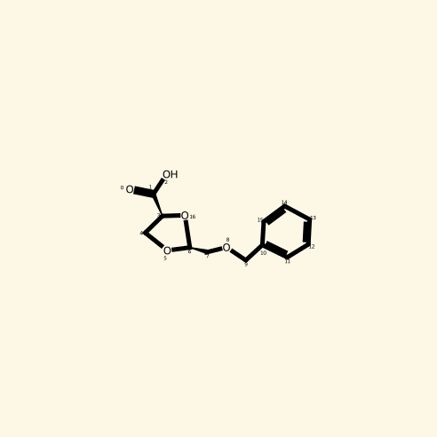 O=C(O)[C@@H]1CO[C@H](COCc2ccccc2)O1